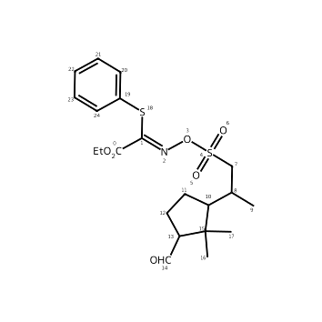 CCOC(=O)/C(=N/OS(=O)(=O)CC(C)C1CCC(C=O)C1(C)C)Sc1ccccc1